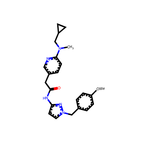 COc1ccc(Cn2ccc(NC(=O)Cc3ccc(N(C)CC4CC4)nc3)n2)cc1